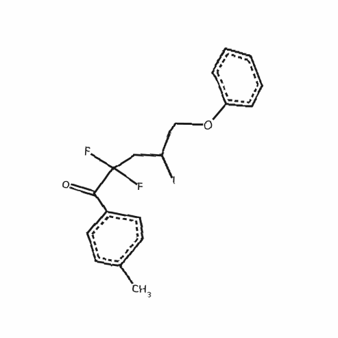 Cc1ccc(C(=O)C(F)(F)CC(I)COc2ccccc2)cc1